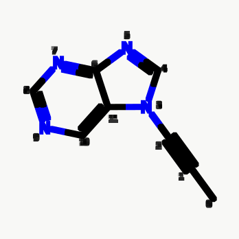 CC#Cn1cnc2ncncc21